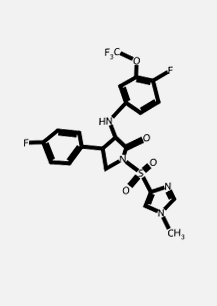 Cn1cnc(S(=O)(=O)N2CC(c3ccc(F)cc3)C(Nc3ccc(F)c(OC(F)(F)F)c3)C2=O)c1